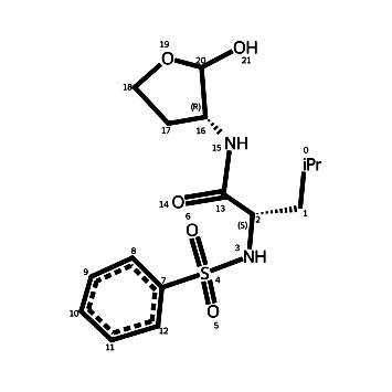 CC(C)C[C@H](NS(=O)(=O)c1ccccc1)C(=O)N[C@@H]1CCOC1O